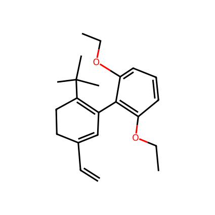 C=CC1=CC(c2c(OCC)cccc2OCC)=C(C(C)(C)C)CC1